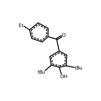 CCc1ccc(C(=O)c2cc(C(C)(C)C)c(O)c(C(C)(C)C)c2)cc1